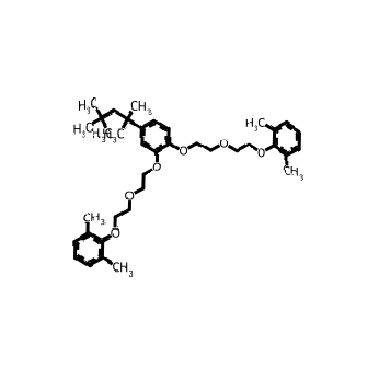 Cc1cccc(C)c1OCCOCCOc1ccc(C(C)(C)CC(C)(C)C)cc1OCCOCCOc1c(C)cccc1C